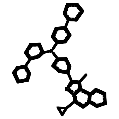 Cc1c(-c2ccc(N(c3ccc(-c4ccccc4)cc3)c3cccc(-c4ccccc4)c3)cc2)nn2c(C3CC3)cc3ccccc3c12